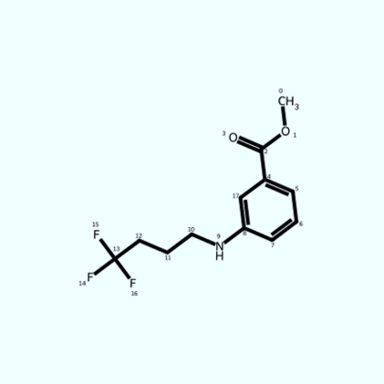 COC(=O)c1cccc(NCCCC(F)(F)F)c1